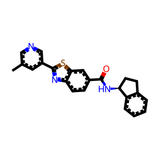 Cc1cncc(-c2nc3ccc(C(=O)N[C@H]4CCc5ccccc54)cc3s2)c1